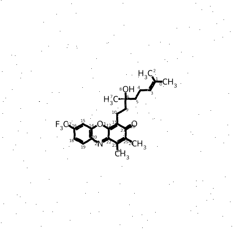 CC(C)=CCC[C@@](C)(O)CCc1c2oc3cc(C(F)(F)F)ccc3nc-2c(C)c(C)c1=O